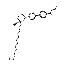 CCCC(C)c1ccc(-c2ccc(C3CCCC(C#N)(CCCCCCCCCCCO)C3)cc2)cc1